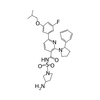 CC(C)COc1cc(F)cc(-c2ccc(C(=O)NS(=O)(=O)N3CCC(N)C3)c(N3CCCC3c3ccccc3)n2)c1